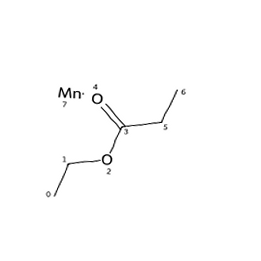 CCOC(=O)CC.[Mn]